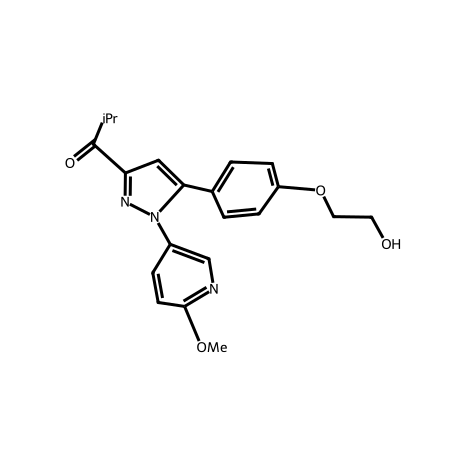 COc1ccc(-n2nc(C(=O)C(C)C)cc2-c2ccc(OCCO)cc2)cn1